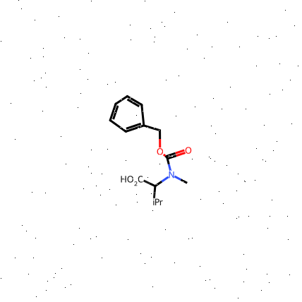 CC(C)C(C(=O)O)N(C)C(=O)OCc1ccccc1